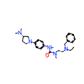 CCN(CCN(C)C(=O)Nc1ccc(N2CCC(N(C)C)C2)cc1)Cc1ccccc1